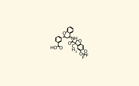 CC1(C(=O)N[C@@H]2C[C@H](c3cccc(C(=O)O)c3)Oc3ccccc32)COc2cc3c(cc21)OC(F)(F)O3